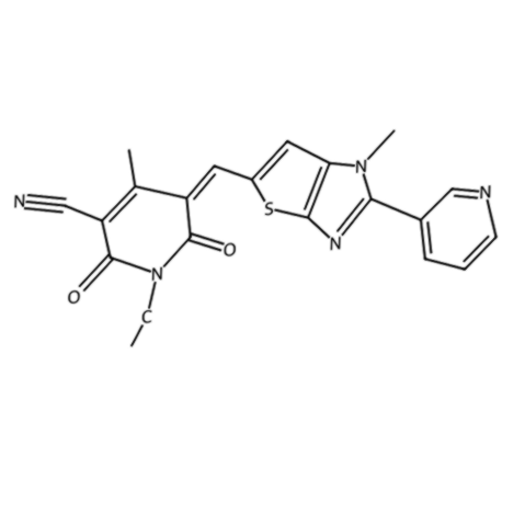 CCN1C(=O)C(C#N)=C(C)/C(=C/c2cc3c(nc(-c4cccnc4)n3C)s2)C1=O